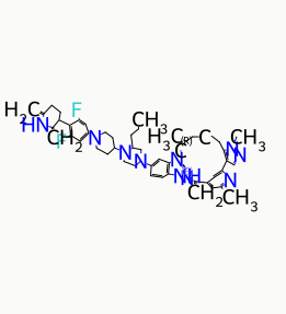 C=C1CCC(c2c(F)cc(N3CCC(N4CCN(c5ccc6c(c5)N5C[C@H](C)CCCCc7c(cnn7C)-c7cc(cc(C)n7)C(=C)/N=C/5N6)CC4CCC)CC3)cc2F)C(=C)N1